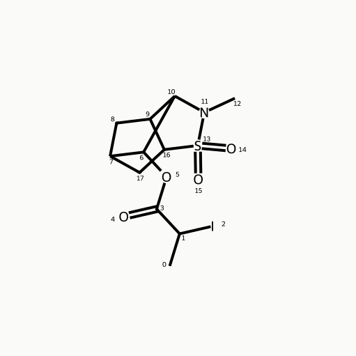 CC(I)C(=O)OC1C2CC3C1N(C)S(=O)(=O)C3C2